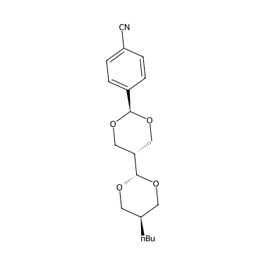 CCCC[C@H]1CO[C@H]([C@H]2CO[C@H](c3ccc(C#N)cc3)OC2)OC1